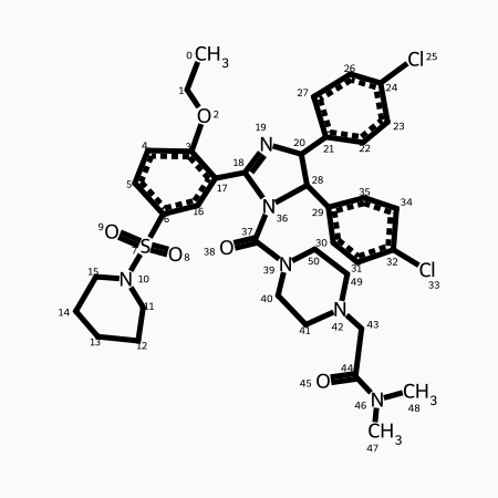 CCOc1ccc(S(=O)(=O)N2CCCCC2)cc1C1=NC(c2ccc(Cl)cc2)C(c2ccc(Cl)cc2)N1C(=O)N1CCN(CC(=O)N(C)C)CC1